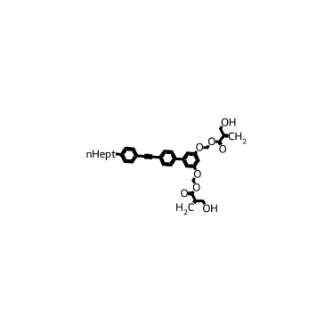 C=C(CO)C(=O)OCOc1cc(OCOC(=O)C(=C)CO)cc(-c2ccc(C#Cc3ccc(CCCCCCC)cc3)cc2)c1